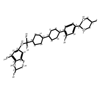 CC1COC(c2ccc(C3CCC(C4CCC(C(F)(F)Oc5cc(F)c(OC(F)F)c(F)c5)CC4)CC3)c(F)c2)OC1